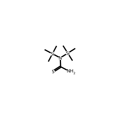 C[Si](C)(C)N(C(N)=S)[Si](C)(C)C